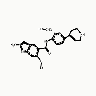 CCOc1cc2nn(C)cc2cc1C(=O)Nc1ccc(C2=CCNCC2)nn1.O=CO